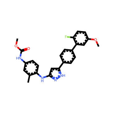 COC(=O)Nc1ccc(Nc2cc(-c3ccc(-c4cc(OC)ccc4F)cc3)[nH]n2)c(C)c1